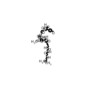 COC[C@H]1O[C@@H](n2cc(C#CCNC(=O)CNC(=O)CCNCCN(C)C)c(=O)[nH]c2=O)C[C@@H]1OP(=O)(O)OC[C@@H]1CC[C@H](n2cc(-c3ccc(C=O)cc3)c(=O)[nH]c2=O)O1